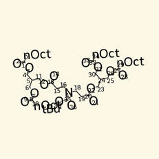 CCCCCCCCC(=O)OCC(COC(=O)CCCCCCCC)COC(=O)CCN(CCC(=O)OCC(COC(=O)CCCCCCCC)COC(=O)CCCCCCCC)C(=O)OC(C)(C)C